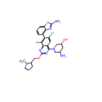 CN1CCCC1COc1nc(N2CC(N)CC(O)C2)c2cc(Cl)c(-c3cccc4sc(N)nc34)c(F)c2n1